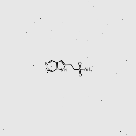 NS(=O)(=O)CCc1cc2cnncc2[nH]1